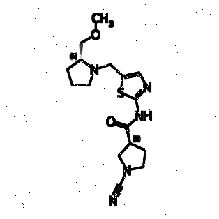 COC[C@H]1CCCN1Cc1cnc(NC(=O)[C@H]2CCN(C#N)C2)s1